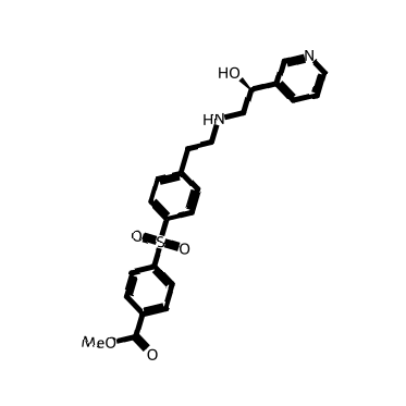 COC(=O)c1ccc(S(=O)(=O)c2ccc(CCNC[C@@H](O)c3cccnc3)cc2)cc1